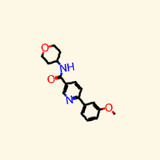 COc1cccc(-c2ccc(C(=O)NC3CCOCC3)cn2)c1